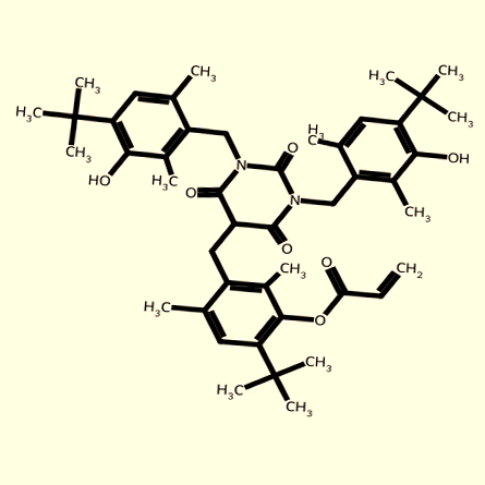 C=CC(=O)Oc1c(C(C)(C)C)cc(C)c(CC2C(=O)N(Cc3c(C)cc(C(C)(C)C)c(O)c3C)C(=O)N(Cc3c(C)cc(C(C)(C)C)c(O)c3C)C2=O)c1C